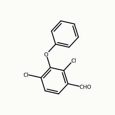 O=Cc1ccc(Cl)c(Oc2ccccc2)c1Cl